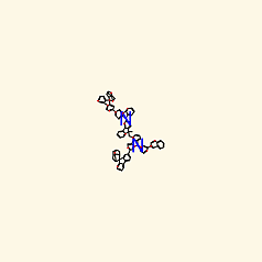 CC1(Cc2cccc3c2c2ccc(-c4ccc5c(c4)C4(c6ccccc6-5)C5CC6CC(C5)CC4C6)cc2n3-c2cccc(-c3ccc4ccccc4c3)c2)c2ccccc2-c2cc(-n3c4ccccc4c4cc(-c5ccc6c(c5)C5(c7ccccc7-6)C6CC7CC(C6)C5C7)ccc43)ccc21